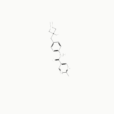 Cc1ncc(C(=O)Nc2ccc(CC3(F)CNC3)cc2)cn1